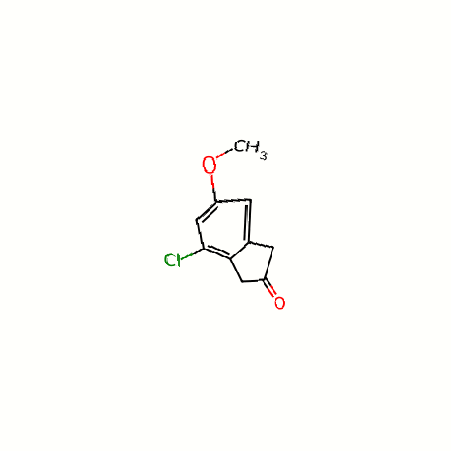 COc1cc(Cl)c2c(c1)CC(=O)C2